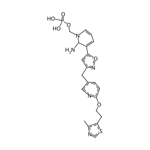 Cc1ncsc1CCOc1ccc(Cc2cc(C3=CC=CN(COP(=O)(O)O)C3N)on2)cn1